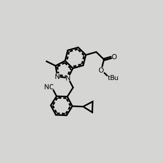 Cc1nn(Cc2c(C#N)cccc2C2CC2)c2cc(CC(=O)OC(C)(C)C)ccc12